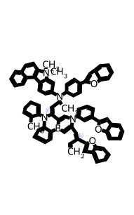 C=C/C(=C\C1=CB2C(=CN1c1cccc(-c3cc4ccccc4o3)c1)/C(=C\C(C)N(c1ccc3c(c1)[N+](C)(C)c1ccc4ccccc4c1-3)C1C=CC(c3cc4ccccc4o3)=CC1)N(C1=CCCC=C1C)c1ccccc12)c1cc2ccccc2o1